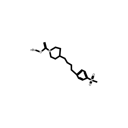 C=C(OCCCC)N1CCC(CCCCc2ccc(S(C)(=O)=O)cc2)CC1